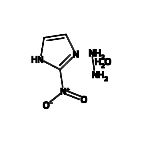 NN.O.O=[N+]([O-])c1ncc[nH]1